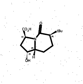 CC(C)(C)[C@H]1CC[C@@H]2[C@H](O)C[C@@H](C(=O)O)N2C1=O